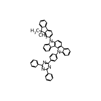 CC1(C)c2ccccc2-c2ccc(-n3c4ccccc4c4c3ccc3c5ccccc5n(-c5ccc(-c6nc(-c7ccccc7)nc(-c7ccccc7)n6)cc5)c34)cc21